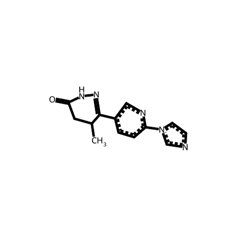 CC1CC(=O)NN=C1c1ccc(-n2ccnc2)nc1